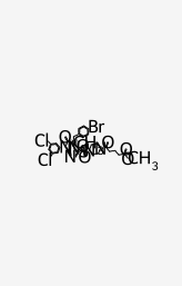 COC(=O)CCCC(=O)N1CCN(S(=O)(=O)c2cnc3n2[C@](C)(Cc2ccc(Br)cc2)C(=O)N3c2cc(Cl)cc(Cl)c2)CC1